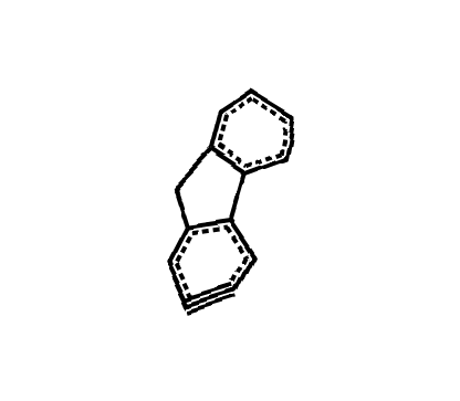 c1cc2c(cc#1)-c1ccccc1C2